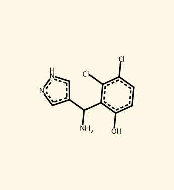 NC(c1cn[nH]c1)c1c(O)ccc(Cl)c1Cl